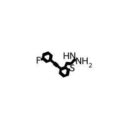 N=C(N)c1cc2c(C#Cc3cccc(F)c3)cccc2s1